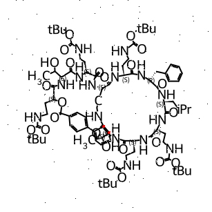 CC(C)C[C@@H]1NC(=O)[C@@H](Cc2ccccc2)NC(=O)[C@H](CCNC(=O)OC(C)(C)C)NC(=O)[C@@H](NC(=O)[C@H](CCNC(=O)OC(C)(C)C)NC(=O)[C@@H](NC(=O)[C@H](CCNC(=O)OC(C)(C)C)OC(=O)c2ccc(-c3ccccc3)cc2)C(C)O)CCNC(=O)[C@H]([C@H](C)O)NC(=O)[C@H](CCNC(=O)OC(C)(C)C)NC(=O)[C@H](CCNC(=O)OC(C)(C)C)NC1=O